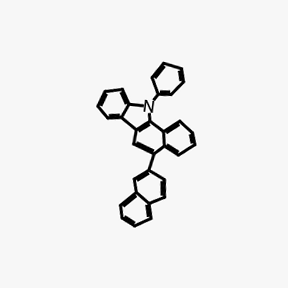 c1ccc(-n2c3ccccc3c3cc(-c4ccc5ccccc5c4)c4ccccc4c32)cc1